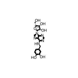 OC[C@H]1O[C@@H](n2cnc3c(NCc4ccc(O)c(O)c4)ncnc32)[C@@H](O)[C@@H]1O